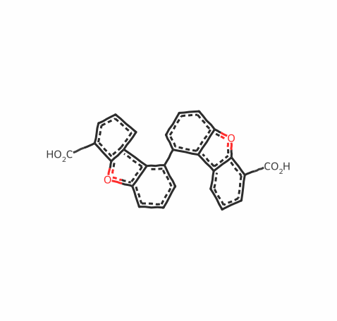 O=C(O)c1cccc2c1oc1cccc(-c3cccc4oc5c(C(=O)O)cccc5c34)c12